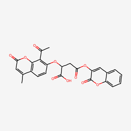 CC(=O)c1c(OC(CC(=O)Oc2cc3ccccc3oc2=O)C(=O)O)ccc2c(C)cc(=O)oc12